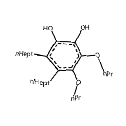 CCCCCCCc1c(O)c(O)c(OCCC)c(OCCC)c1CCCCCCC